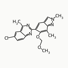 COCOc1c(-c2nc(C)c3cc(Cl)ccc3n2)cc2cn(C)nc2c1C